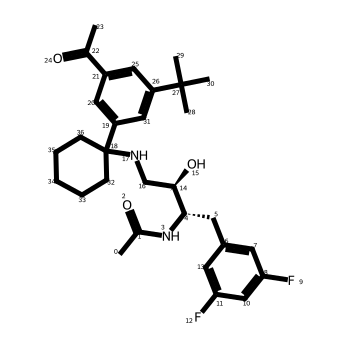 CC(=O)N[C@@H](Cc1cc(F)cc(F)c1)[C@H](O)CNC1(c2cc(C(C)=O)cc(C(C)(C)C)c2)CCCCC1